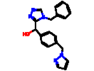 OC(c1ccc(Cn2cccn2)cc1)c1nncn1Cc1ccccc1